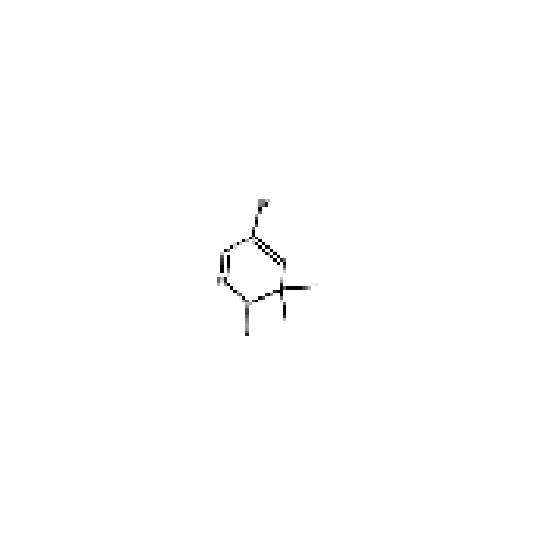 CC1N=CC(Br)=CC1(C)C